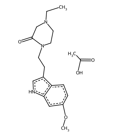 CC(=O)O.CCN1CCN(CCc2c[nH]c3cc(OC)ccc23)C(=O)C1